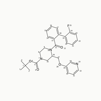 CC(C)(C)OC(=O)N1CCN(C(=O)c2ccccc2-c2ccccc2F)C(COc2cccnc2)C1